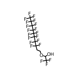 OC(OCCC(F)(F)C(F)(F)C(F)(F)C(F)(F)C(F)(F)C(F)(F)C(F)(F)C(F)(F)F)C(F)(F)F